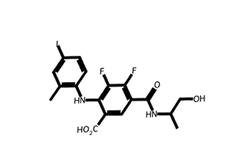 Cc1cc(I)ccc1Nc1c(C(=O)O)cc(C(=O)NC(C)CO)c(F)c1F